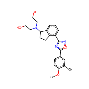 CC(C)Oc1ccc(-c2nc(-c3cccc4c3CCC4N(CCO)CCO)no2)cc1C#N